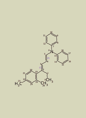 CC/C(=C\C=C\N(c1ccccc1)c1ccccc1)c1ccc(C)cc1C